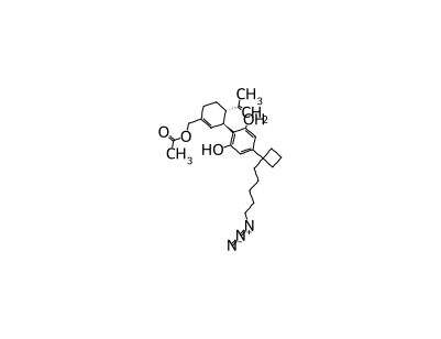 C=C(C)[C@H]1CCC(COC(C)=O)=C[C@@H]1c1c(O)cc(C2(CCCCCN=[N+]=[N-])CCC2)cc1O